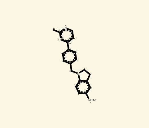 CC(=O)Nc1ccc2c(c1)CCN2Cc1ccc(-c2ccnc(C)n2)cc1